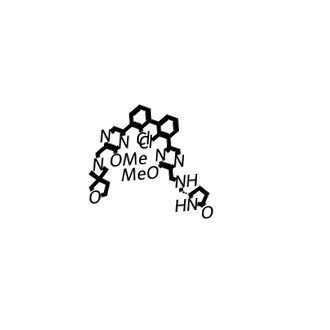 COc1nc(-c2cccc(-c3cccc(-c4cnc(CN5CC6(CCOC6)C5)c(OC)n4)c3Cl)c2Cl)cnc1CNC[C@@H]1CCC(=O)N1